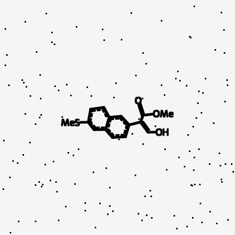 COC(=O)C(=CO)c1ccc2cc(SC)ccc2c1